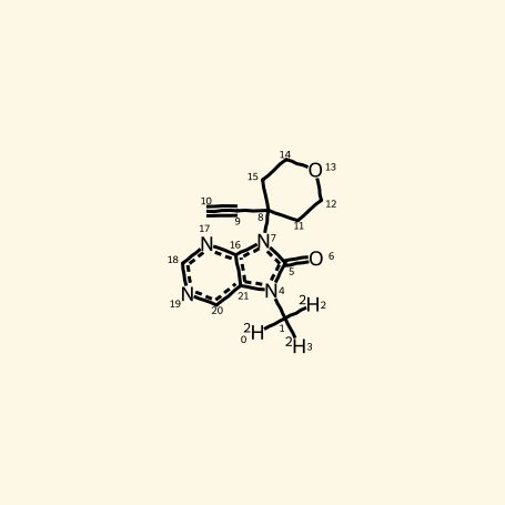 [2H]C([2H])([2H])n1c(=O)n(C2(C#C)CCOCC2)c2ncncc21